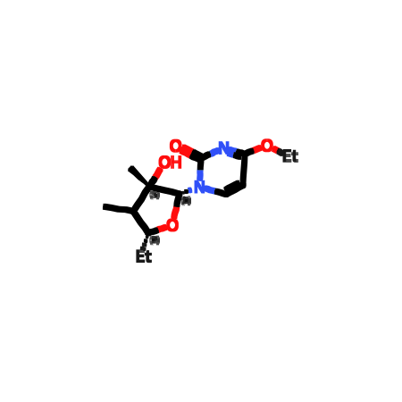 CCOc1ccn([C@@H]2O[C@H](CC)C(C)[C@]2(C)O)c(=O)n1